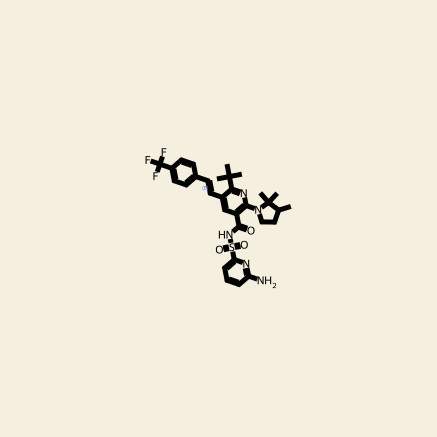 CC1CCN(c2nc(C(C)(C)C)c(/C=C/c3ccc(C(F)(F)F)cc3)cc2C(=O)NS(=O)(=O)c2cccc(N)n2)C1(C)C